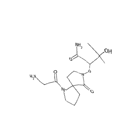 CC(C)(O)C(ON1CCC2(CCCN2C(=O)CN)C1=O)C(N)=O